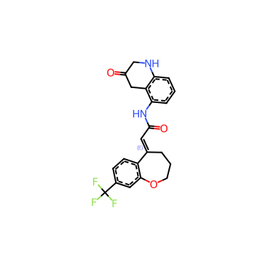 O=C1CNc2cccc(NC(=O)/C=C3\CCCOc4cc(C(F)(F)F)ccc43)c2C1